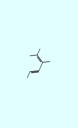 CC=CC(C)=C(C)[O]